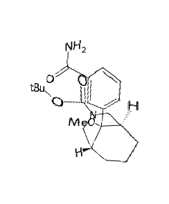 COC1(c2cccc(C(N)=O)c2)[C@@H]2CCC[C@@H]1CN(C(=O)OC(C)(C)C)C2